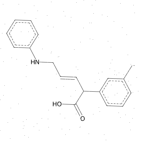 [CH2]c1cccc(C(C=CCNc2ccccc2)C(=O)O)c1